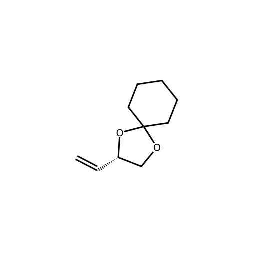 C=C[C@H]1COC2(CCCCC2)O1